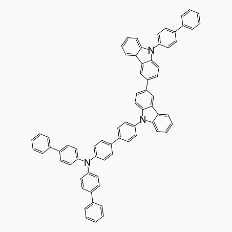 c1ccc(-c2ccc(N(c3ccc(-c4ccccc4)cc3)c3ccc(-c4ccc(-n5c6ccccc6c6cc(-c7ccc8c(c7)c7ccccc7n8-c7ccc(-c8ccccc8)cc7)ccc65)cc4)cc3)cc2)cc1